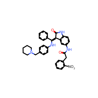 O=C(Cc1ccccc1[N+](=O)[O-])Nc1ccc2c(c1)C(=C(Nc1ccc(CN3CCCCC3)cc1)c1ccccc1)C(=O)N2